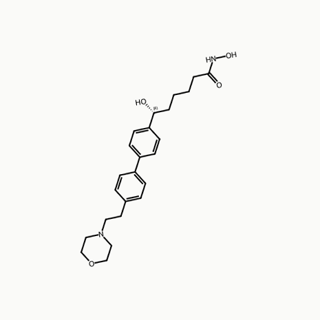 O=C(CCCC[C@@H](O)c1ccc(-c2ccc(CCN3CCOCC3)cc2)cc1)NO